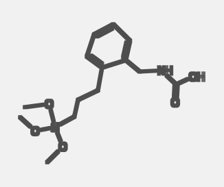 CO[Si](CCCc1ccccc1CNC(=O)O)(OC)OC